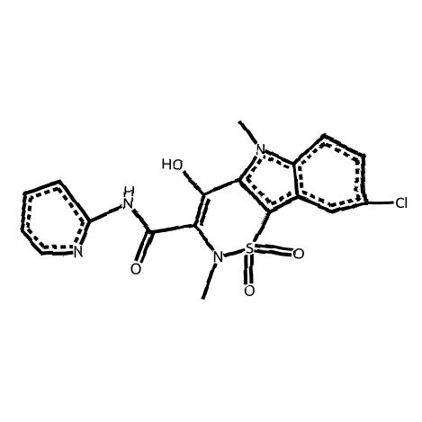 CN1C(C(=O)Nc2ccccn2)=C(O)c2c(c3cc(Cl)ccc3n2C)S1(=O)=O